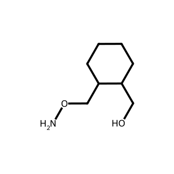 NOCC1CCCCC1CO